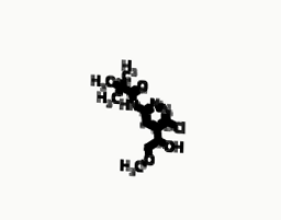 COCC(O)c1cc(NC(=O)C(C)(C)C)nnc1Cl